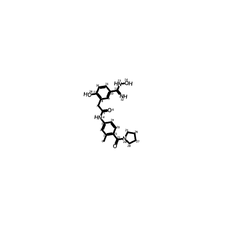 Cc1cc(NC(=O)Cc2cc(C(=N)NO)ccc2O)ccc1C(=O)N1CCCC1